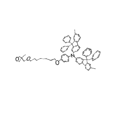 Cc1ccc2c(c1)C(c1ccccc1)(c1ccccc1)c1cc(N(c3ccc(OCCCCCCCCOCC4(C)COC4)cc3)c3ccc4c(c3)C(c3ccccc3)(c3ccccc3)c3cc(C)ccc3-4)ccc1-2